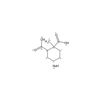 CC1(C(=O)O)CCCCC1C(=O)O.[NaH]